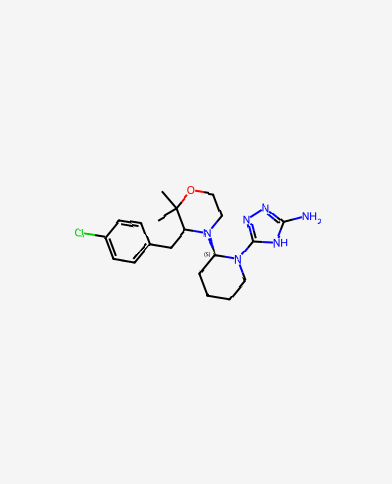 CC1(C)OCCN([C@@H]2CCCCN2c2nnc(N)[nH]2)C1Cc1ccc(Cl)cc1